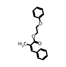 CC(=Cc1ccccc1)C(=O)OCCOc1ccccc1